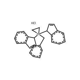 C1=C[CH]([Zr]2([CH2]c3ccccc3)([CH]3C=Cc4ccccc43)[CH2][CH2]2)c2ccccc21.Cl